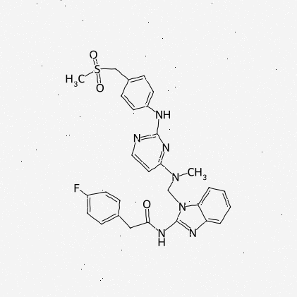 CN(Cn1c(NC(=O)Cc2ccc(F)cc2)nc2ccccc21)c1ccnc(Nc2ccc(CS(C)(=O)=O)cc2)n1